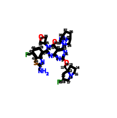 Nc1nc2c(-c3nc4nc(OC[C@@]56CCCN5C[C@H](F)C6)nc(N5CC6CCC(C5)N6)c4c(=O)n3C3COC3)ccc(F)c2s1